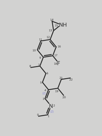 C/C=N\C=C(\CCC(C)c1ccc(C2CN2)cc1F)C(C)CC